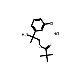 CC(C)(C)C(=O)OCC(C)(N)c1cccc(Cl)c1.Cl